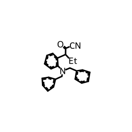 CCC(C(=O)C#N)c1ccccc1N(Cc1ccccc1)Cc1ccccc1